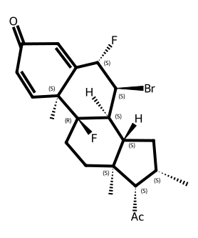 CC(=O)[C@H]1[C@@H](C)C[C@H]2[C@@H]3[C@H](Br)[C@@H](F)C4=CC(=O)C=C[C@]4(C)[C@@]3(F)CC[C@@]21C